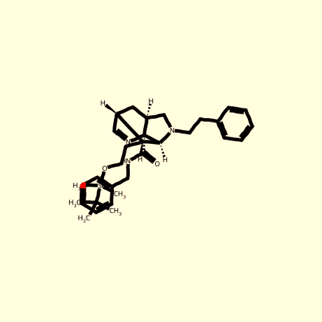 CC(C)(C)[Si](C)(C)OCC[C@@H]1[C@@H]2C=N[C@@]3(C(=O)NCc4ccccc4)[C@@H](C2)CN(CCc2ccccc2)[C@@H]13